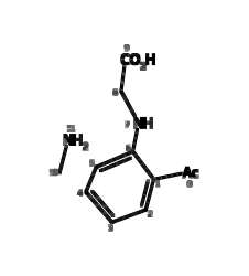 CC(=O)c1ccccc1NCC(=O)O.CN